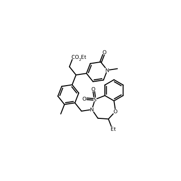 CCOC(=O)CC(c1ccc(C)c(CN2CC(CC)Oc3ccccc3S2(=O)=O)c1)c1ccn(C)c(=O)c1